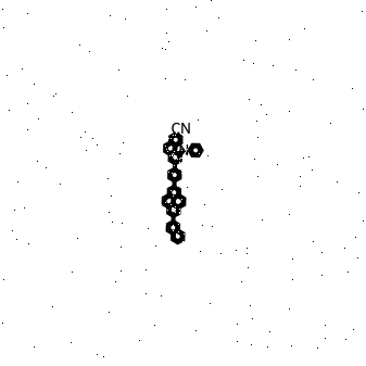 N#Cc1cc2ccc3cc(-c4ccc(-c5cc6ccc7cc(-c8ccc9ccccc9c8)cc8ccc(c5)c6c78)cc4)cc4c3c2c(c1)n4-c1ccccc1